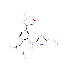 CCO[C@@H](c1ccc(C(COC)CC(=O)O)cc1Nc1cnc(OC)nc1)C(F)(F)F